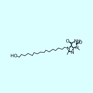 Cc1nc2c(c(=O)[nH]c(=O)n2C)n1CCCCCCCCCCCCCCCCO